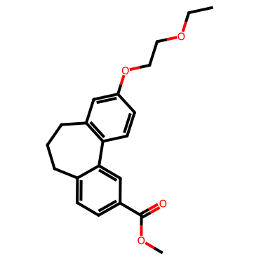 CCOCCOc1ccc2c(c1)CCCc1ccc(C(=O)OC)cc1-2